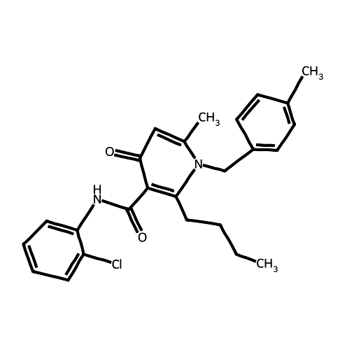 CCCCc1c(C(=O)Nc2ccccc2Cl)c(=O)cc(C)n1Cc1ccc(C)cc1